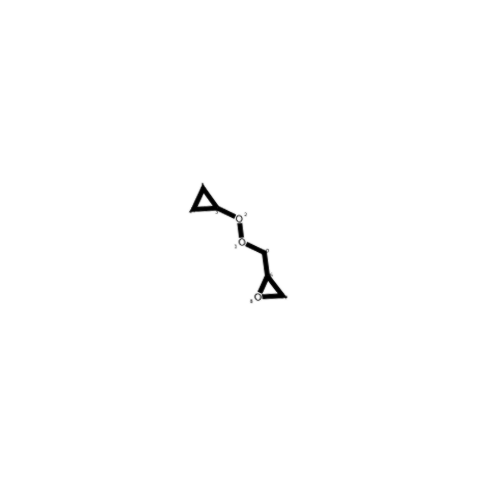 C(OOC1CC1)C1CO1